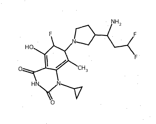 CC1=c2c(c(=O)[nH]c(=O)n2C2CC2)=C(O)C(F)C1N1CCC(C(N)CC(F)F)C1